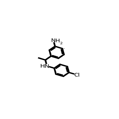 CC(Nc1ccc(Cl)cc1)c1cc[c]c(N)c1